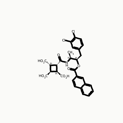 C[C@H](NC(=O)[C@H]1[C@@H](C(=O)O)[C@H](C(=O)O)[C@@H]1C(=O)O)[C@@H](Cc1ccc(Cl)c(Cl)c1)OC(=O)c1ccc2ccccc2c1